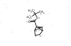 CC(C)(C)OC(=O)C1=CC2CCC1C2